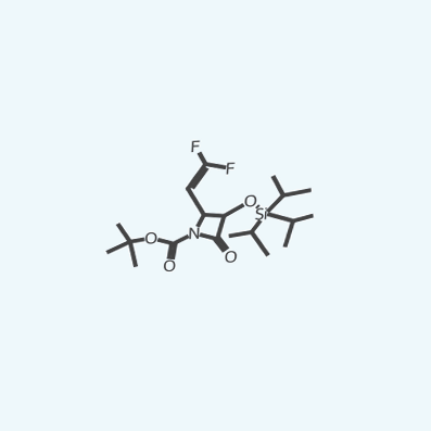 CC(C)[Si](OC1C(=O)N(C(=O)OC(C)(C)C)C1C=C(F)F)(C(C)C)C(C)C